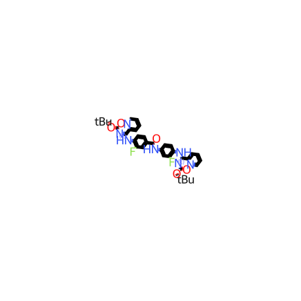 CC(C)(C)OC(=O)/N=C(/Nc1ccc(NC(=O)c2ccc(N/C(=N/C(=O)OC(C)(C)C)c3ccccn3)c(F)c2)cc1F)c1ccccn1